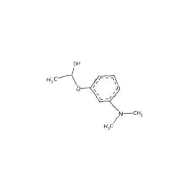 CC(O)Oc1cccc(N(C)C)c1